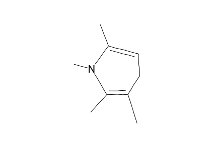 CC1=CCC(C)=C(C)N1C